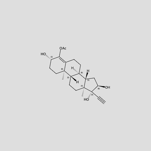 C#C[C@]1(O)[C@H](O)C[C@H]2[C@@H]3CCC4=C(OC(C)=O)[C@@H](O)CC[C@]4(C)[C@H]3CC[C@@]21C